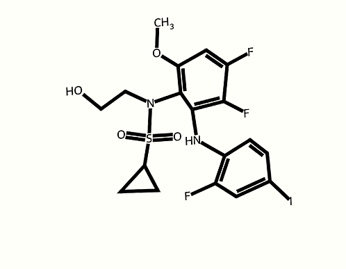 COc1cc(F)c(F)c(Nc2ccc(I)cc2F)c1N(CCO)S(=O)(=O)C1CC1